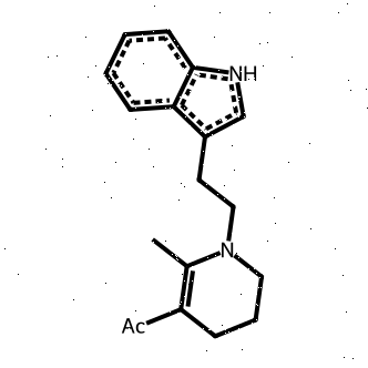 CC(=O)C1=C(C)N(CCc2c[nH]c3ccccc23)CCC1